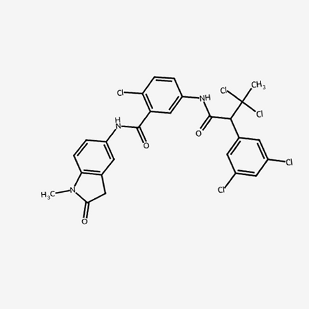 CN1C(=O)Cc2cc(NC(=O)c3cc(NC(=O)C(c4cc(Cl)cc(Cl)c4)C(C)(Cl)Cl)ccc3Cl)ccc21